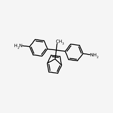 CC(c1ccc(N)cc1)(c1ccc(N)cc1)C1C2=CC=C1C=C2